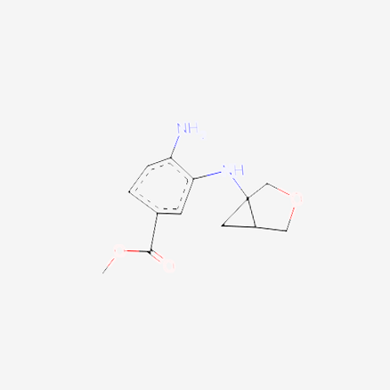 COC(=O)c1ccc(N)c(NC23COCC2C3)c1